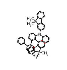 CC1(C)c2ccccc2-c2ccc(N(c3ccccc3)c3cccc(-c4ccccc4-c4ccccc4)c3-c3cccc4c3-c3ccccc3C4(C)C)cc21